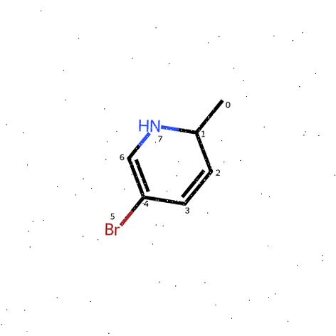 CC1C=CC(Br)=CN1